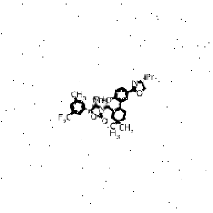 COc1ccc(C2=N[C@H](C(C)C)CO2)cc1C1=C(CN2C(=O)O[C@H](c3cc(C)cc(C(F)(F)F)c3)[C@@H]2C)CC(C)(C)CC1